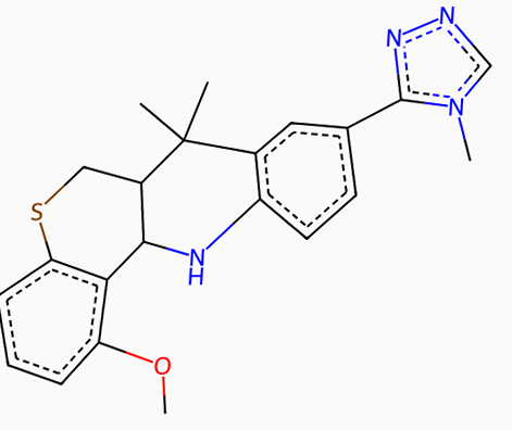 COc1cccc2c1C1Nc3ccc(-c4nncn4C)cc3C(C)(C)C1CS2